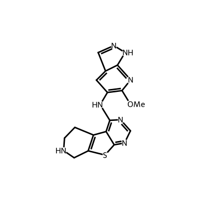 COc1nc2[nH]ncc2cc1Nc1ncnc2sc3c(c12)CCNC3